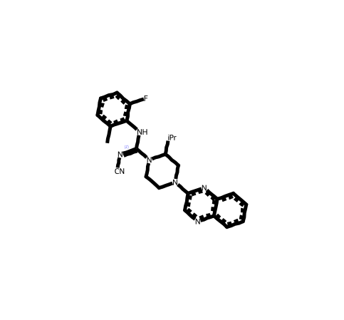 Cc1cccc(F)c1N/C(=N/C#N)N1CCN(c2cnc3ccccc3n2)CC1C(C)C